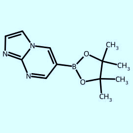 CC1(C)OB(c2cnc3nccn3c2)OC1(C)C